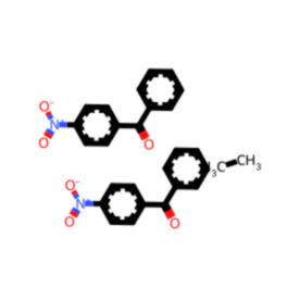 CC.O=C(c1ccccc1)c1ccc([N+](=O)[O-])cc1.O=C(c1ccccc1)c1ccc([N+](=O)[O-])cc1